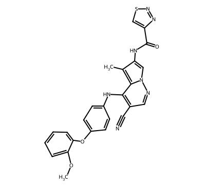 COc1ccccc1Oc1ccc(Nc2c(C#N)cnn3cc(NC(=O)c4csnn4)c(C)c23)cc1